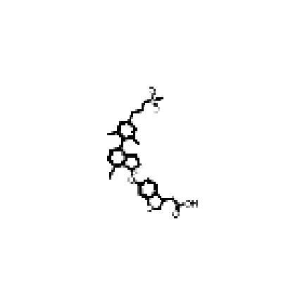 Cc1cc(CCCS(C)(=O)=O)cc(C)c1-c1ccc(F)c2c1CC[C@H]2Oc1ccc2c(c1)OCC2CC(=O)O